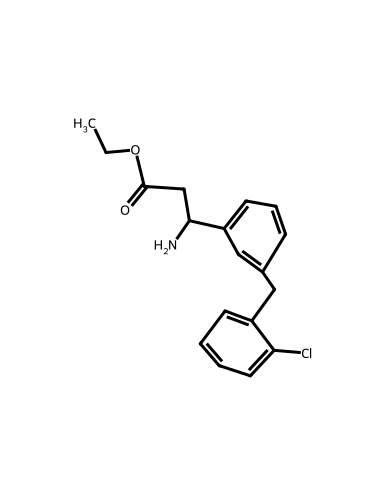 CCOC(=O)CC(N)c1cccc(Cc2ccccc2Cl)c1